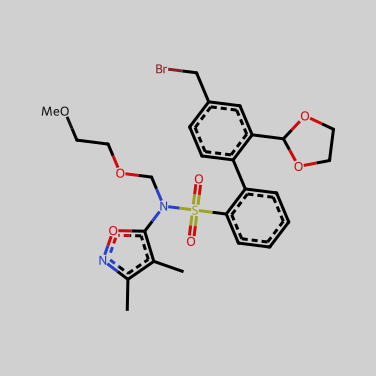 COCCOCN(c1onc(C)c1C)S(=O)(=O)c1ccccc1-c1ccc(CBr)cc1C1OCCO1